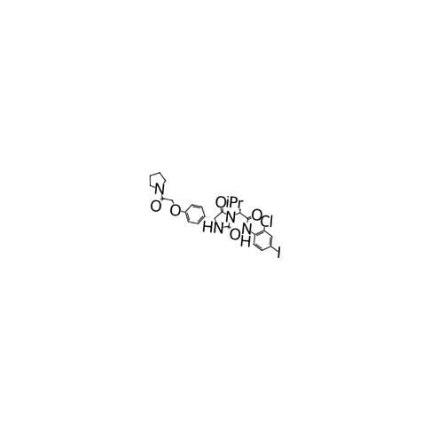 CC(C)[C@@H](C(=O)Nc1ccc(I)cc1Cl)N1C(=O)N[C@H](c2ccc(OCC(=O)N3CCCC3)cc2)C1=O